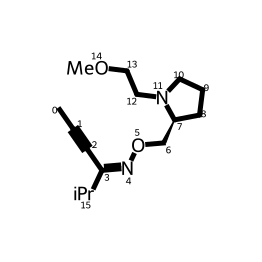 CC#C/C(=N\OC[C@@H]1CCCN1CCOC)C(C)C